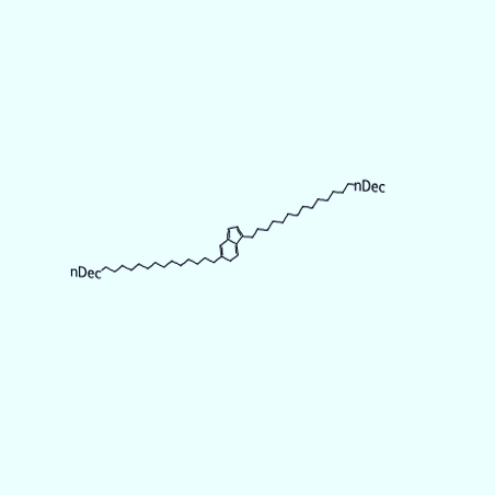 CCCCCCCCCCCCCCCCCCCCCCCCC1=CC2=CC=C(CCCCCCCCCCCCCCCCCCCCCCCC)C2=CC1